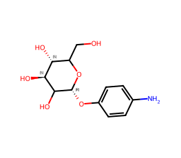 Nc1ccc(O[C@H]2OC(CO)[C@@H](O)[C@H](O)C2O)cc1